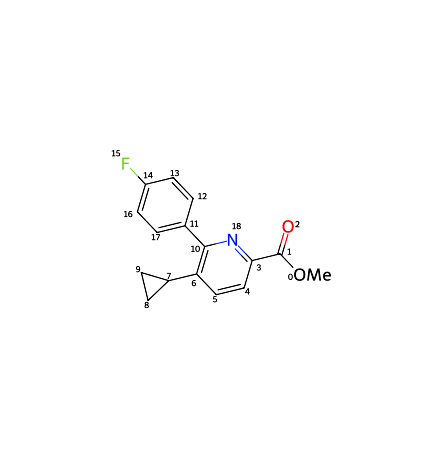 COC(=O)c1ccc(C2CC2)c(-c2ccc(F)cc2)n1